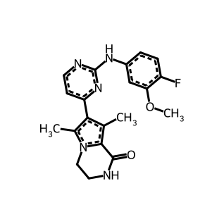 COc1cc(Nc2nccc(-c3c(C)c4n(c3C)CCNC4=O)n2)ccc1F